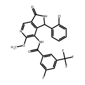 COc1ncc2c(c1NC(=O)c1cc(F)cc(C(F)(F)F)c1)C(c1ccccc1Cl)NC2=O